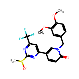 COc1ccc(Cn2cc(-c3cc(C(F)(F)F)nc([S+](C)[O-])n3)ccc2=O)cc1OC